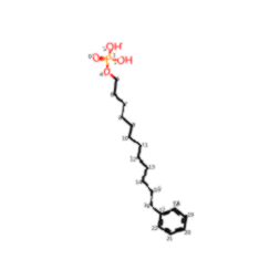 O=P(O)(O)OCCCCCCCCCCCCc1ccccc1